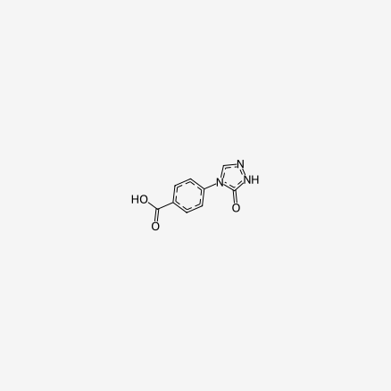 O=C(O)c1ccc(-n2cn[nH]c2=O)cc1